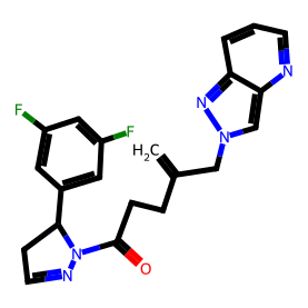 C=C(CCC(=O)N1N=CCC1c1cc(F)cc(F)c1)Cn1cc2ncccc2n1